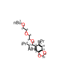 CC(C)[CH2][AlH2].CCCCOCCOCCOCc1cc2c(cc1CCC)OCO2